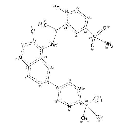 C[C@@H](Nc1c(Cl)cnc2ccc(-c3cnc(C(C)(C)O)nc3)cc12)c1cc(S(N)(=O)=O)ccc1F